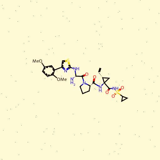 C=C[C@@H]1C[C@]1(NC(=O)[C@@H]1CCCN1C(=O)[C@H](N)Nc1nc(-c2cc(OC)ccc2OC)cs1)C(=O)NS(=O)(=O)C1CC1